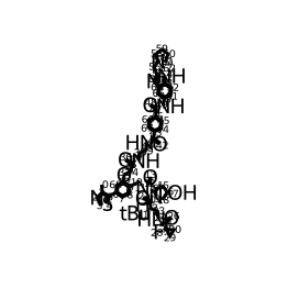 Cc1ncsc1-c1ccc(CNC(=O)[C@@H]2CC(O)CN2C(=O)C(CNC(=O)C2(F)CC2)C(C)(C)C)c(OCC(=O)NCCNC(=O)c2ccc(C(=O)Nc3ccc4[nH]c(CN5CCC[C@@H]5C)nc4c3)cc2)c1